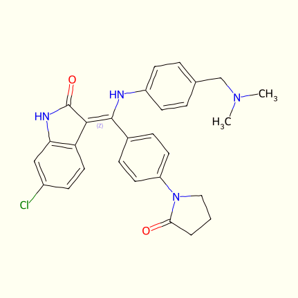 CN(C)Cc1ccc(N/C(=C2\C(=O)Nc3cc(Cl)ccc32)c2ccc(N3CCCC3=O)cc2)cc1